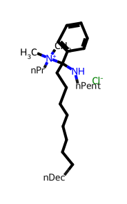 CCCCCCCCCCCCCCCCCCC(NCCCCC)(c1ccccc1)[N+](C)(C)CCC.[Cl-]